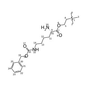 CS(C)(C)CCOC(=O)[C@@H](N)CCCCNC(=O)OCc1ccccc1